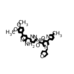 COc1ccc(-c2cnc(N)c(-c3ccc(NC(=O)c4cn(CC5CCOCC5)cc(-c5ccc(C)cn5)c4=O)nn3)c2)cc1OC